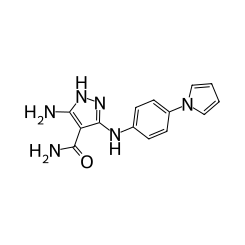 NC(=O)c1c(Nc2ccc(-n3cccc3)cc2)n[nH]c1N